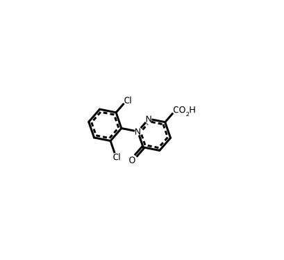 O=C(O)c1ccc(=O)n(-c2c(Cl)cccc2Cl)n1